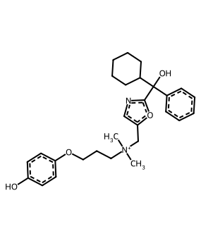 C[N+](C)(CCCOc1ccc(O)cc1)Cc1cnc(C(O)(c2ccccc2)C2CCCCC2)o1